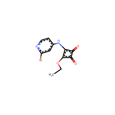 CCOc1c(Nc2ccnc(Br)c2)c(=O)c1=O